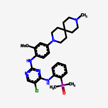 COc1cc(N2CCC3(CCN(C)CC3)CC2)ccc1Nc1ncc(Cl)c(Nc2ccccc2P(C)(C)=O)n1